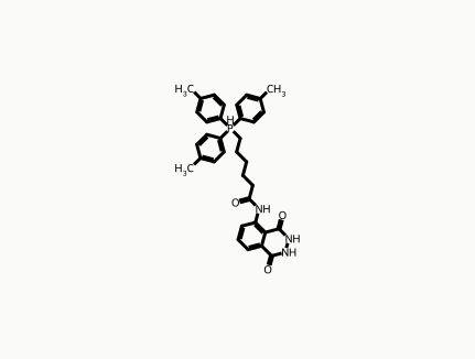 Cc1ccc([PH](CCCCCC(=O)Nc2cccc3c(=O)[nH][nH]c(=O)c23)(c2ccc(C)cc2)c2ccc(C)cc2)cc1